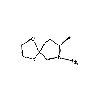 C[C@@H]1CC2(CN1C(C)(C)C)OCCO2